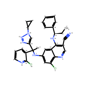 [2H]C(Nc1cc(Cl)c2ncc(C#N)c(N[C@H](CC)c3ccccc3)c2c1)(c1cn(C2CC2)nn1)c1cccnc1Cl